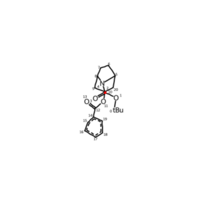 CC(C)(C)OC(=O)N1C2CCC1CC(OC(=O)c1ccccc1)C2